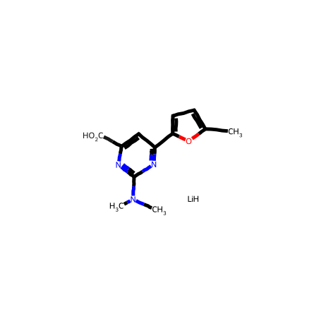 Cc1ccc(-c2cc(C(=O)O)nc(N(C)C)n2)o1.[LiH]